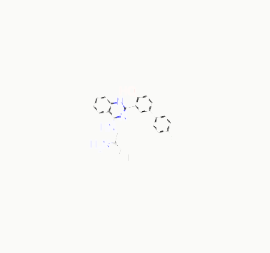 CC[C@@H](N)CNc1nc(-c2cc(-c3ccc(Cl)cc3)ccc2O)nc2ccccc12